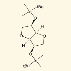 CC(C)(C)[Si](C)(C)O[C@@H]1CO[C@H]2[C@@H]1OC[C@H]2O[Si](C)(C)C(C)(C)C